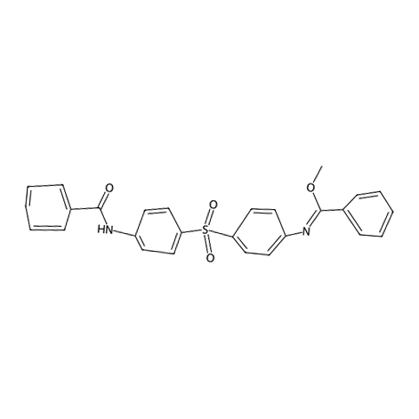 CO/C(=N\c1ccc(S(=O)(=O)c2ccc(NC(=O)c3ccccc3)cc2)cc1)c1ccccc1